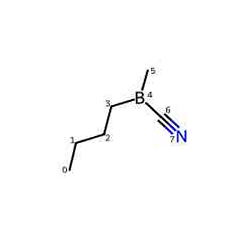 CCCCB(C)C#N